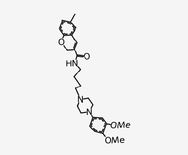 COc1ccc(N2CCN(CCCCNC(=O)C3=Cc4cc(C)ccc4OC3)CC2)cc1OC